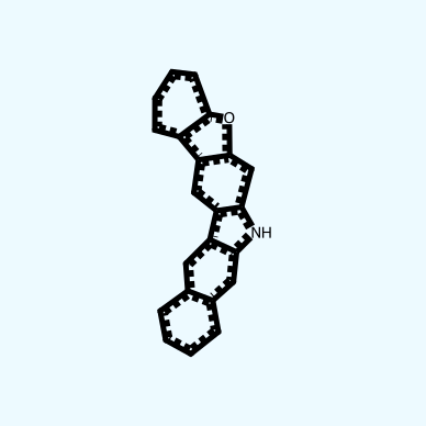 c1ccc2cc3c(cc2c1)[nH]c1cc2oc4ccccc4c2cc13